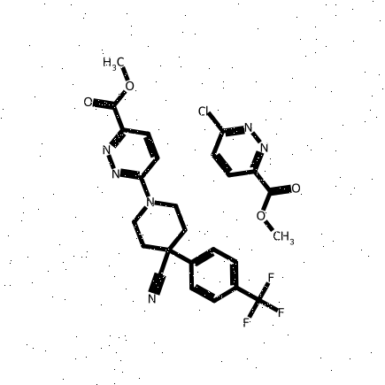 COC(=O)c1ccc(Cl)nn1.COC(=O)c1ccc(N2CCC(C#N)(c3ccc(C(F)(F)F)cc3)CC2)nn1